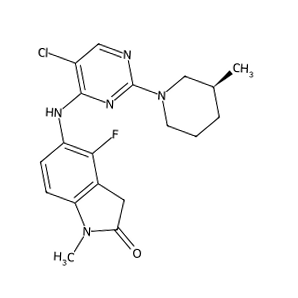 C[C@H]1CCCN(c2ncc(Cl)c(Nc3ccc4c(c3F)CC(=O)N4C)n2)C1